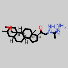 COC[C@]12CC[C@H](C)C[C@@H]1CC[C@H]1C3CC[C@H](C(=O)CN(N)/C(C)=N\N)[C@@]3(C)CC[C@@H]12